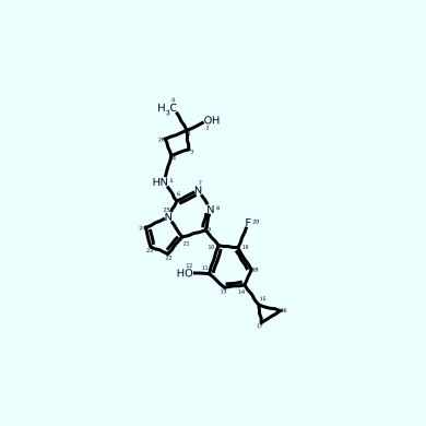 CC1(O)CC(Nc2nnc(-c3c(O)cc(C4CC4)cc3F)c3cccn23)C1